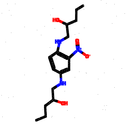 CCCC(O)CNc1ccc(NCC(O)CCC)c([N+](=O)[O-])c1